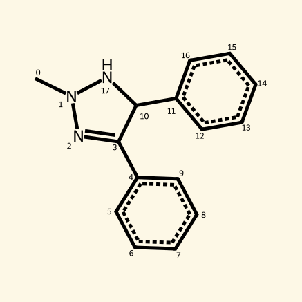 CN1N=C(c2ccccc2)C(c2ccccc2)N1